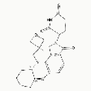 CC1(CN[C@H]2CCCC[C@@H]2Oc2ccc3c(c2)CN(C2CCC(=O)NC2=O)C3=O)COC1